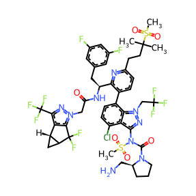 CC(C)(CCc1ccc(-c2ccc(Cl)c3c(N(C(=O)N4CCC[C@H]4CN)S(C)(=O)=O)nn(CC(F)(F)F)c23)c([C@H](Cc2cc(F)cc(F)c2)NC(=O)Cn2nc(C(F)(F)F)c3c2C(F)(F)C2C[C@H]32)n1)S(C)(=O)=O